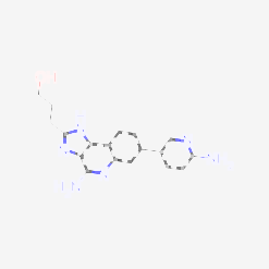 Nc1ccc(-c2ccc3c(c2)nc(N)c2nc(CCCO)[nH]c23)cn1